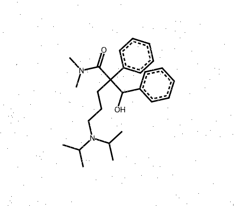 CC(C)N(CCCC(C(=O)N(C)C)(c1ccccc1)C(O)c1ccccc1)C(C)C